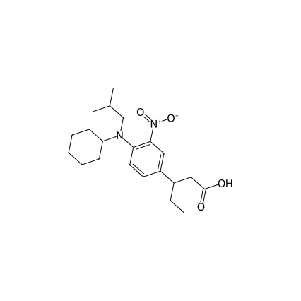 CCC(CC(=O)O)c1ccc(N(CC(C)C)C2CCCCC2)c([N+](=O)[O-])c1